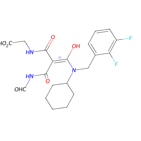 O=CNC(=O)/C(C(=O)NCC(=O)O)=C(/O)N(Cc1cccc(F)c1F)C1CCCCC1